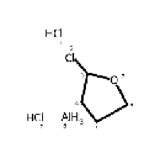 Cl.Cl.ClC1CCCO1.[AlH3]